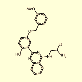 CCC(N)CNc1nc(-c2cc(OCc3cccc(OC)c3)ccc2O)nc2ccccc12